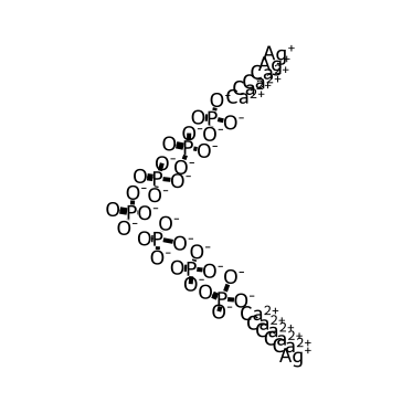 O=P([O-])([O-])[O-].O=P([O-])([O-])[O-].O=P([O-])([O-])[O-].O=P([O-])([O-])[O-].O=P([O-])([O-])[O-].O=P([O-])([O-])[O-].O=P([O-])([O-])[O-].[Ag+].[Ag+].[Ag+].[Ca+2].[Ca+2].[Ca+2].[Ca+2].[Ca+2].[Ca+2].[Ca+2].[Ca+2].[Ca+2]